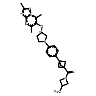 COC1CN(C(=O)C23CC(c4ccc(N5CC[C@@H](Oc6c(C)nc7nc(C)nn7c6C)C5)cc4)(C2)C3)C1